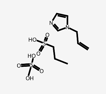 C=CCn1ccnc1.CCCS(=O)(=O)O.O=S(=O)(O)O